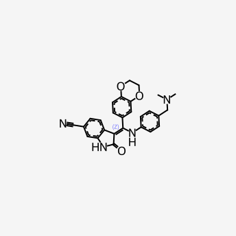 CN(C)Cc1ccc(N/C(=C2\C(=O)Nc3cc(C#N)ccc32)c2ccc3c(c2)OCCO3)cc1